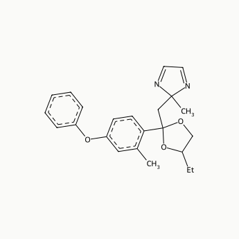 CCC1COC(CC2(C)N=CC=N2)(c2ccc(Oc3ccccc3)cc2C)O1